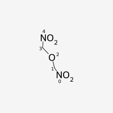 O=[N+]([O-])COC[N+](=O)[O-]